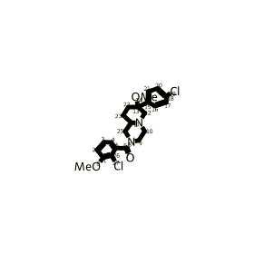 COc1cccc(C(=O)N2CCN3CC(OC)(c4ccc(Cl)cc4)CCC3C2)c1Cl